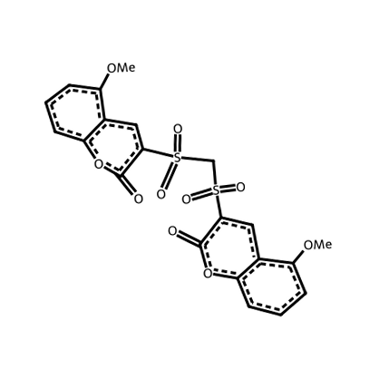 COc1cccc2oc(=O)c(S(=O)(=O)CS(=O)(=O)c3cc4c(OC)cccc4oc3=O)cc12